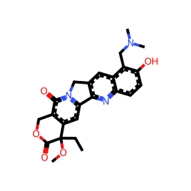 CCC1(OC)C(=O)OCc2c1cc1n(c2=O)Cc2cc3c(CN(C)C)c(O)ccc3nc2-1